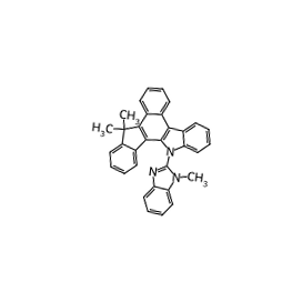 Cn1c(-n2c3ccccc3c3c4ccccc4c4c(c32)-c2ccccc2C4(C)C)nc2ccccc21